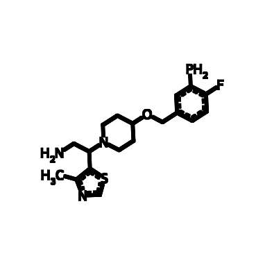 Cc1ncsc1C(CN)N1CCC(OCc2ccc(F)c(P)c2)CC1